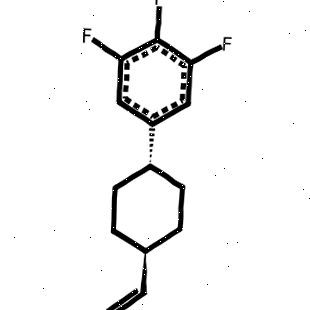 C=C[C@H]1CC[C@H](c2cc(F)c(F)c(F)c2)CC1